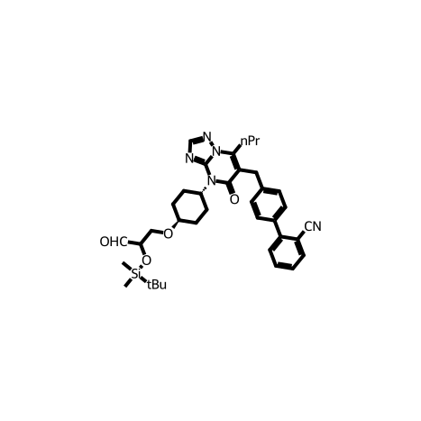 CCCc1c(Cc2ccc(-c3ccccc3C#N)cc2)c(=O)n([C@H]2CC[C@H](OCC(C=O)O[Si](C)(C)C(C)(C)C)CC2)c2ncnn12